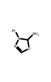 CC(C)N1N=COC1N